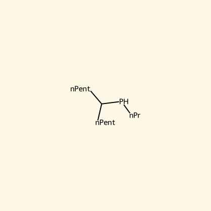 CCCCCC(CCCCC)PCCC